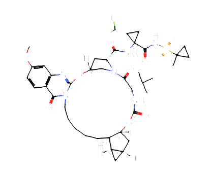 COc1ccc2c(=O)n3c(nc2c1)O[C@@H]1C[C@@H](C(=O)N[C@]2(C(=O)NS(=O)(=O)C4(C)CC4)C[C@H]2C(F)F)N(C1)C(=O)[C@H](C(C)(C)C)NC(=O)O[C@@H]1C[C@@H]2C[C@@H]2[C@H]1CCCCC3